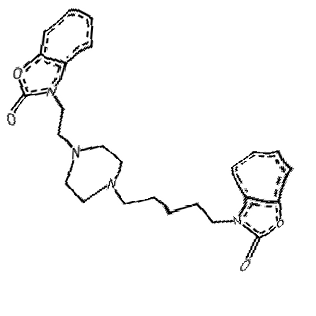 O=c1oc2ccccc2n1CCCCCN1CCN(CCn2c(=O)oc3ccccc32)CC1